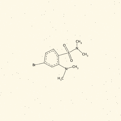 CN(C)c1cc(Br)ccc1S(=O)(=O)N(C)C